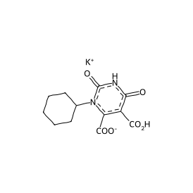 O=C(O)c1c(C(=O)[O-])n(C2CCCCC2)c(=O)[nH]c1=O.[K+]